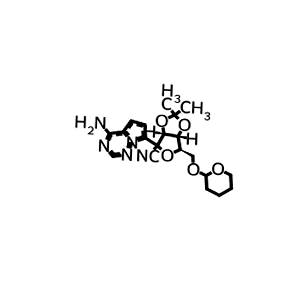 CC1(C)O[C@H]2[C@@H](O1)C(C#N)(c1ccc3c(N)ncnn13)O[C@@H]2COC1CCCCO1